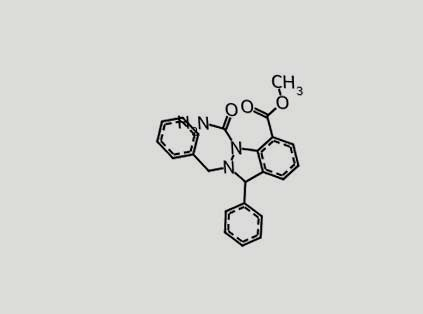 COC(=O)c1cccc2c1N(C(N)=O)N(Cc1ccccc1)C2c1ccccc1